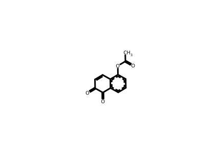 CC(=O)Oc1cccc2c1C=CC(=O)C2=O